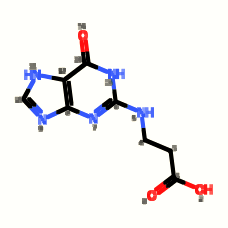 O=C(O)CCNc1nc2nc[nH]c2c(=O)[nH]1